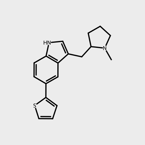 CN1CCCC1Cc1c[nH]c2ccc(-c3cccs3)cc12